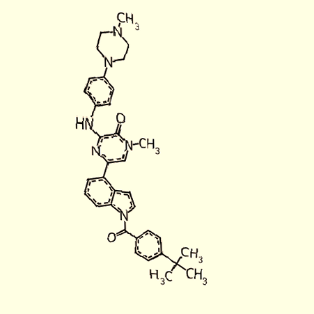 CN1CCN(c2ccc(Nc3nc(-c4cccc5c4ccn5C(=O)c4ccc(C(C)(C)C)cc4)cn(C)c3=O)cc2)CC1